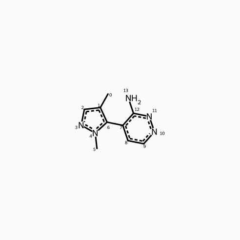 Cc1cnn(C)c1-c1ccnnc1N